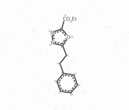 CCOC(=O)c1nnc(CCc2ccccc2)o1